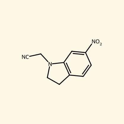 N#CCN1CCc2ccc([N+](=O)[O-])cc21